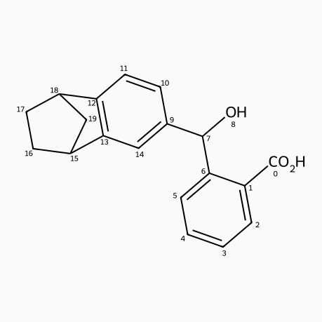 O=C(O)c1ccccc1C(O)c1ccc2c(c1)C1CCC2C1